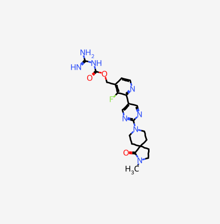 CN1CCC2(CCN(c3ncc(-c4nccc(COC(=O)NC(=N)N)c4F)cn3)CC2)C1=O